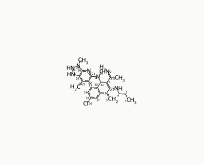 C=C/C(NCCC)=C(/C(C)=N)C(c1ccc(Cl)cc1)N(C)c1cc(C)c2c(n1)N(C)NN2